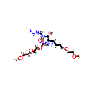 COCCOCCCCC(NC(=O)OCCOCCOC)C(=O)NCN